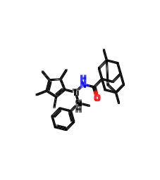 CC1=C(C)C(C)[C]([Ti]([NH]C(=O)C23CC4CC(C)(CC(C)(C4)C2)C3)[SiH](C)c2ccccc2)=C1C